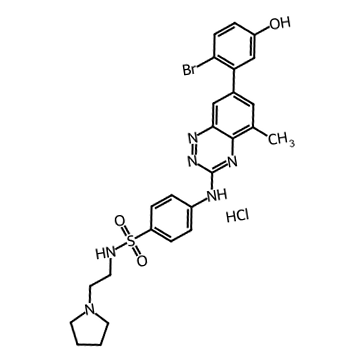 Cc1cc(-c2cc(O)ccc2Br)cc2nnc(Nc3ccc(S(=O)(=O)NCCN4CCCC4)cc3)nc12.Cl